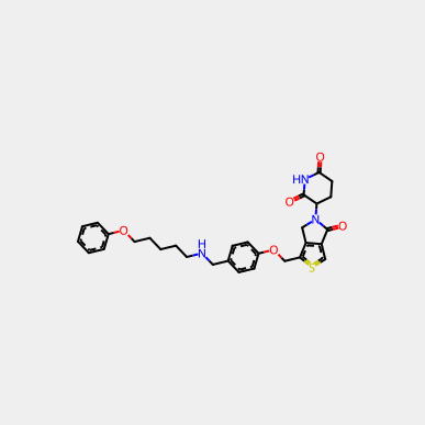 O=C1CCC(N2Cc3c(csc3COc3ccc(CNCCCCCOc4ccccc4)cc3)C2=O)C(=O)N1